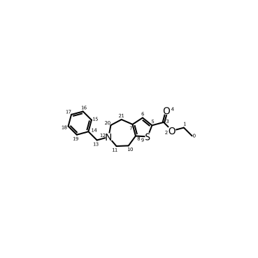 CCOC(=O)c1cc2c(s1)CCN(Cc1ccccc1)CC2